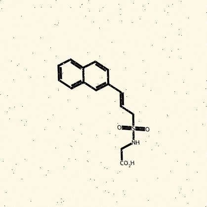 O=C(O)CNS(=O)(=O)CC=Cc1ccc2ccccc2c1